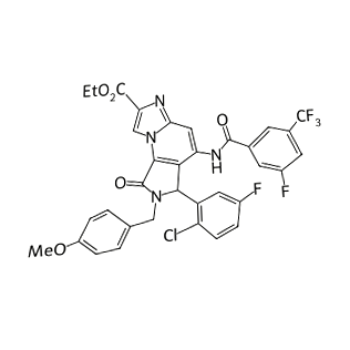 CCOC(=O)c1cn2c3c(c(NC(=O)c4cc(F)cc(C(F)(F)F)c4)cc2n1)C(c1cc(F)ccc1Cl)N(Cc1ccc(OC)cc1)C3=O